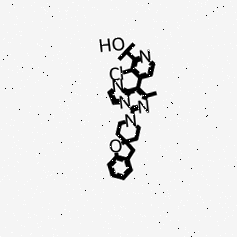 Cc1nc(N2CCC3(CC2)Cc2ccccc2O3)n2ccnc2c1-c1ccnc(C(C)(C)O)c1Cl